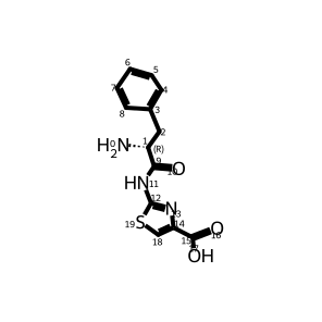 N[C@H](Cc1ccccc1)C(=O)Nc1nc(C(=O)O)cs1